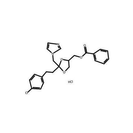 Cl.O=C(OCC1COC(CCc2ccc(Cl)cc2)(Cn2ccnc2)O1)c1ccccc1